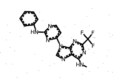 CNc1nc(C(F)(F)F)nc2c1ncn2-c1ccnc(Nc2ccccc2)n1